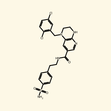 NS(=O)(=O)c1ccc(CCNC(=O)c2cnc3c(c2)N(Cc2cc(Cl)ccc2Cl)CCN3)cc1